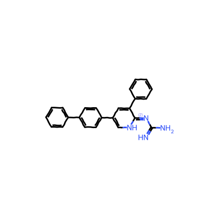 N=C(N)/N=c1\[nH]cc(-c2ccc(-c3ccccc3)cc2)cc1-c1ccccc1